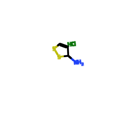 Cl.NC1C=CSS1